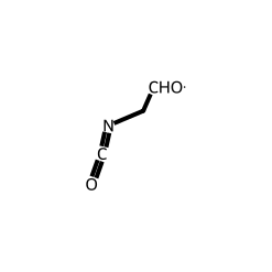 O=[C]CN=C=O